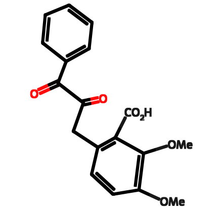 COc1ccc(CC(=O)C(=O)c2ccccc2)c(C(=O)O)c1OC